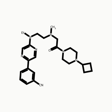 CCN(CCN(C)CC(=O)N1CCN(C2CCC2)CC1)c1cnc(-c2cccc(C#N)c2)cn1